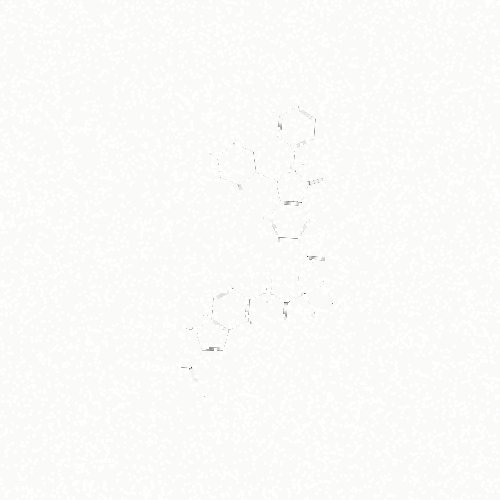 Cn1c(C(=O)O)cc2cc(NC(=O)C3(NC(=O)c4ccc5c(c4)c(=O)n(-c4ccccc4)n5C4CCCCC4)CCC3)ccc21